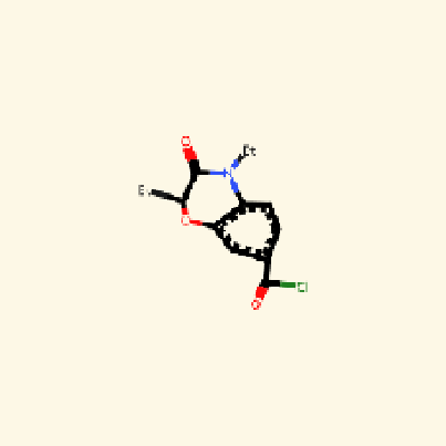 CCC1Oc2cc(C(=O)Cl)ccc2N(CC)C1=O